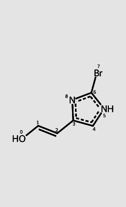 O/C=C/c1c[nH]c(Br)n1